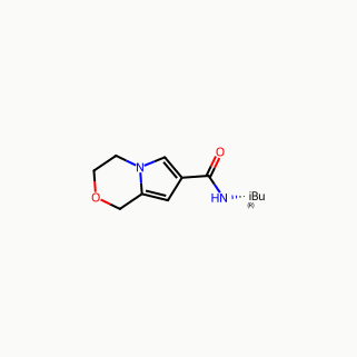 CC[C@@H](C)NC(=O)c1cc2n(c1)CCOC2